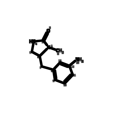 CN1C(=O)NCC1Cc1cccc(N)c1